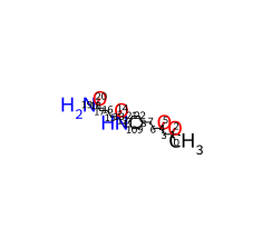 CC(=O)CC(=O)CCc1ccc(NC(=O)CCCC(N)=O)cc1